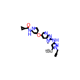 C#CCn1nc(Nc2nc3ncc(Oc4ccnc(NC(=O)C5CC5)c4)cc3n2C)cc1C(C)(C)C